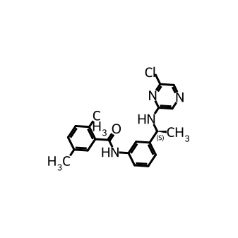 Cc1ccc(C)c(C(=O)Nc2cccc([C@H](C)Nc3cncc(Cl)n3)c2)c1